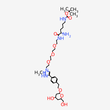 CN1NC(c2ccc(CCOC3CC(O)CC(CO)O3)cc2)=CN1CCOCCOCCOCCNC(=O)C(N)CCCCNC(=O)OC(C)(C)C